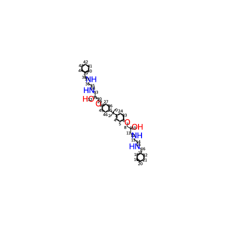 CC(C)(c1ccc(OCC(O)CNCCNCc2cc#ccc2)cc1)c1ccc(OCC(O)CNCCNCc2ccccc2)cc1